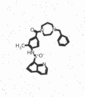 Cc1cc(C(=O)N2CCCN(Cc3ccccc3)CC2)ccc1N[S+]([O-])c1cccc2cccnc12